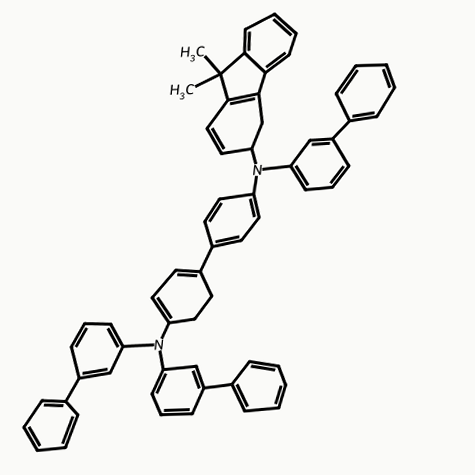 CC1(C)C2=C(CC(N(c3ccc(C4=CC=C(N(c5cccc(-c6ccccc6)c5)c5cccc(-c6ccccc6)c5)CC4)cc3)c3cccc(-c4ccccc4)c3)C=C2)c2ccccc21